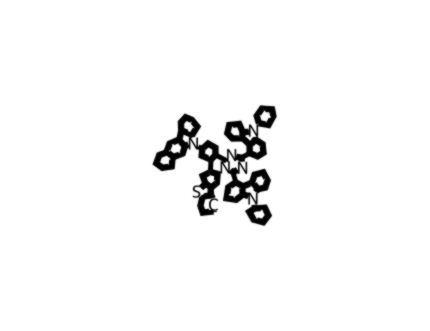 c1ccc(-n2c3ccccc3c3c(-c4nc(-c5ccc(-n6c7ccccc7c7cc8ccccc8cc76)cc5-c5ccc6c(c5)sc5ccccc56)nc(-c5cccc6c5c5ccccc5n6-c5ccccc5)n4)cccc32)cc1